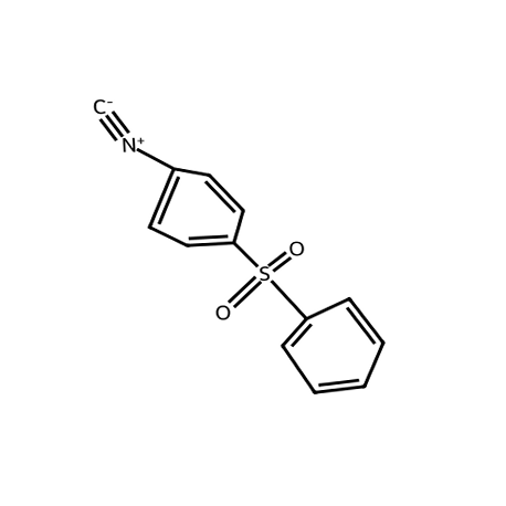 [C-]#[N+]c1ccc(S(=O)(=O)c2ccccc2)cc1